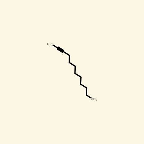 CC#CCCCCCCCCN